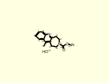 Cc1c2c(nc3ccccc13)CCN(C(=O)OC(C)C)CC2.Cl